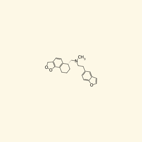 CN(CCc1ccc2occc2c1)C[C@@H]1CCCc2c1ccc1c2OOC1